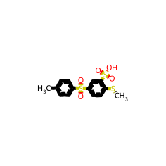 CSc1ccc(S(=O)(=O)c2ccc(C)cc2)cc1S(=O)(=O)O